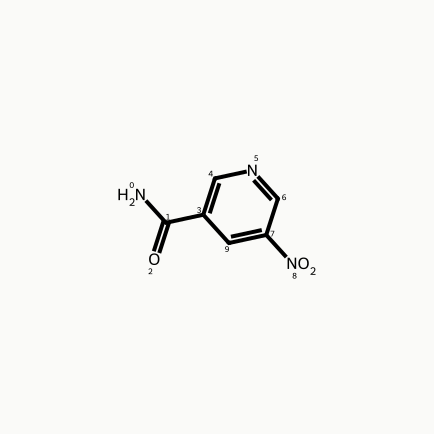 NC(=O)c1cncc([N+](=O)[O-])c1